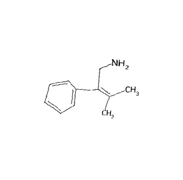 CC(C)=C(CN)c1ccccc1